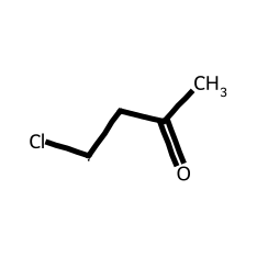 CC(=O)C[CH]Cl